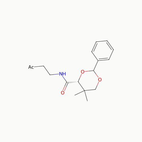 CC(=O)CCNC(=O)[C@@H]1OC(c2ccccc2)OCC1(C)C